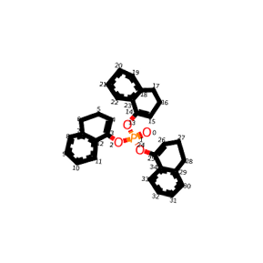 O=P(OC1=CCCc2ccccc21)(OC1=CCCc2ccccc21)OC1=CCCc2ccccc21